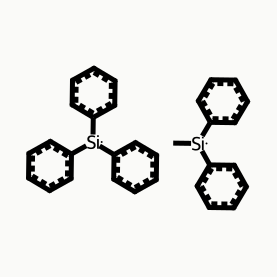 C[Si](c1ccccc1)c1ccccc1.c1ccc([Si](c2ccccc2)c2ccccc2)cc1